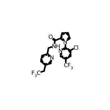 O=C(NCc1ccc(CC(F)(F)F)cn1)c1cccn1-c1ncc(C(F)(F)F)cc1Cl